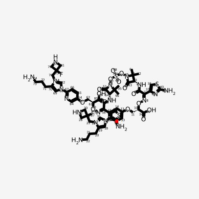 CC1(C)[C@H](NC(=O)/C(=N\O[C@@H](COc2ccc(-n3cc(CCCN)[n+](CC4(F)CNC4)c3)nc2)C(=O)O)c2csc(N)n2)C(=O)N1OS(=O)(=O)ON1C(=O)[C@@H](NC(=O)/C(=N\O[C@@H](COc2ccc(-n3cc(CCCN)[n+](CC4(F)CNC4)c3)nc2)C(=O)O)c2csc(N)n2)C1(C)C